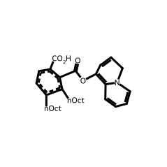 CCCCCCCCc1ccc(C(=O)O)c(C(=O)OC2=C3C=CC=CN3CC=C2)c1CCCCCCCC